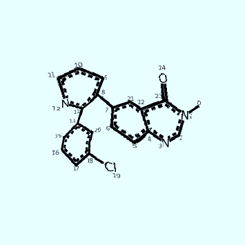 Cn1cnc2ccc(-c3cccnc3-c3cccc(Cl)c3)cc2c1=O